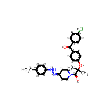 CC(C)(Oc1ccc(C(=O)c2ccc(Cl)cc2)cc1)C(=O)N1CCC(=NNc2ccc(C(=O)O)cc2)CC1